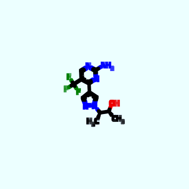 C[C@H](O)[C@@H](C)n1cc(-c2nc(N)ncc2C(F)(F)F)cn1